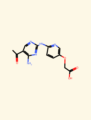 CC(=O)c1cnc(Nc2ccc(OCC(=O)O)cn2)nc1N